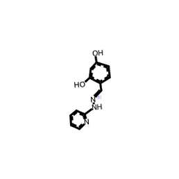 Oc1ccc(/C=N/Nc2ccccn2)c(O)c1